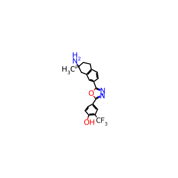 C[C@]1(N)CCc2ccc(-c3nnc(-c4ccc(O)c(C(F)(F)F)c4)o3)cc2C1